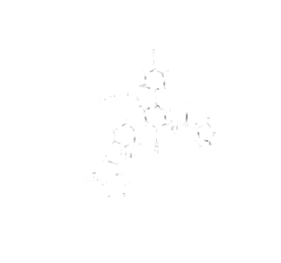 Cl.N#Cc1c(-c2cccc(NC(=O)C3CCCC3N)c2)cc(-c2ccc(F)cc2O)nc1NC(=O)c1ccco1